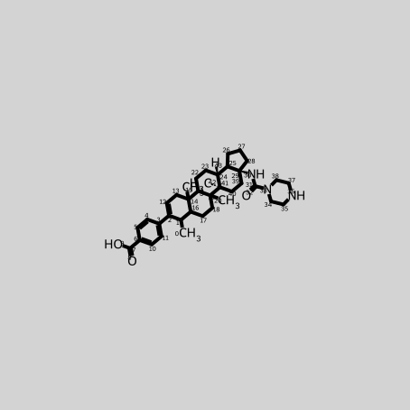 CC1C(c2ccc(C(=O)O)cc2)=CCC2(C)C1CCC1(C)C2CC[C@@H]2C3CCC[C@]3(NC(=O)N3CCNCC3)CC[C@]21C